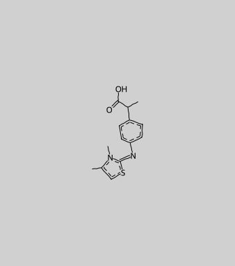 Cc1csc(=Nc2ccc(C(C)C(=O)O)cc2)n1C